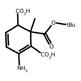 CC(C)(C)OC(=O)C1(C)C(C(=O)O)=C(N)C=CC1C(=O)O